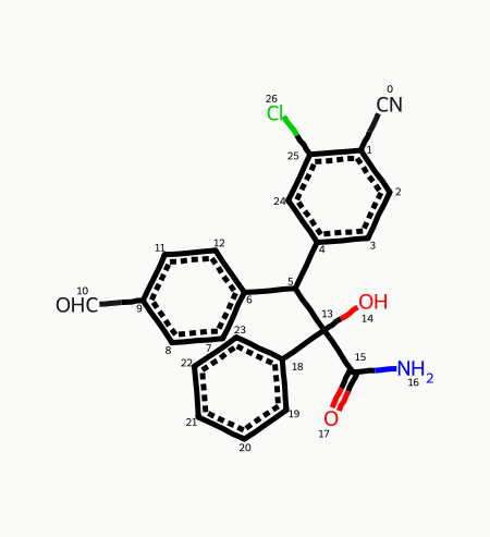 N#Cc1ccc(C(c2ccc(C=O)cc2)C(O)(C(N)=O)c2ccccc2)cc1Cl